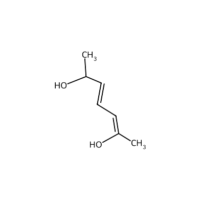 CC(O)=CC=CC(C)O